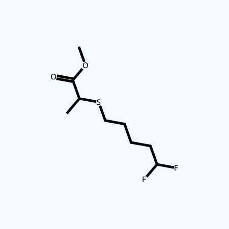 COC(=O)C(C)SCCCCC(F)F